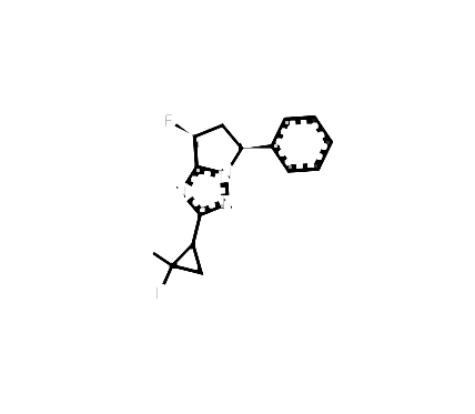 F[C@H]1C[C@@H](c2ccccc2)n2nc(C3CC3(F)F)nc21